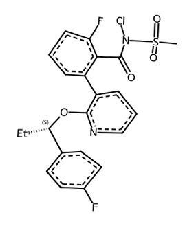 CC[C@H](Oc1ncccc1-c1cccc(F)c1C(=O)N(Cl)S(C)(=O)=O)c1ccc(F)cc1